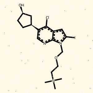 C[Si](C)(C)CCOCn1c(I)cc2c(Cl)c([C@H]3CC[C@@H](O)C3)cnc21